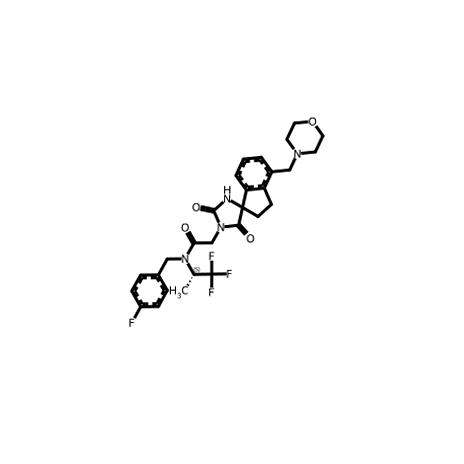 C[C@H](N(Cc1ccc(F)cc1)C(=O)CN1C(=O)NC2(CCc3c(CN4CCOCC4)cccc32)C1=O)C(F)(F)F